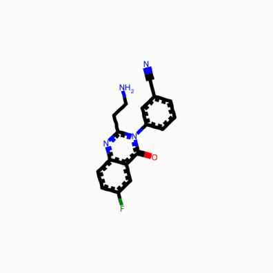 N#Cc1cccc(-n2c(CCN)nc3ccc(F)cc3c2=O)c1